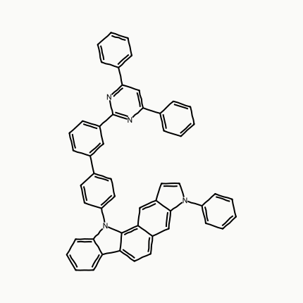 c1ccc(-c2cc(-c3ccccc3)nc(-c3cccc(-c4ccc(-n5c6ccccc6c6ccc7cc8c(ccn8-c8ccccc8)cc7c65)cc4)c3)n2)cc1